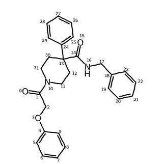 O=C(COc1ccccc1)N1CCC(C(=O)NCc2ccccc2)(c2ccccc2)CC1